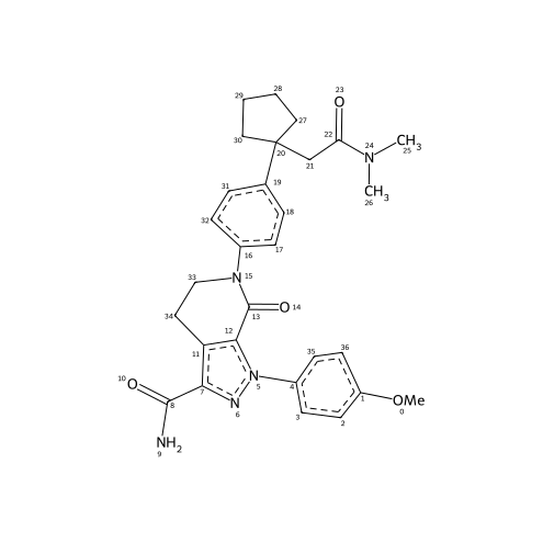 COc1ccc(-n2nc(C(N)=O)c3c2C(=O)N(c2ccc(C4(CC(=O)N(C)C)CCCC4)cc2)CC3)cc1